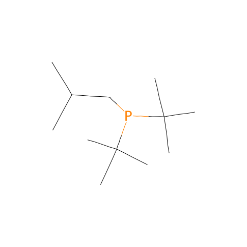 CC(C)CP(C(C)(C)C)C(C)(C)C